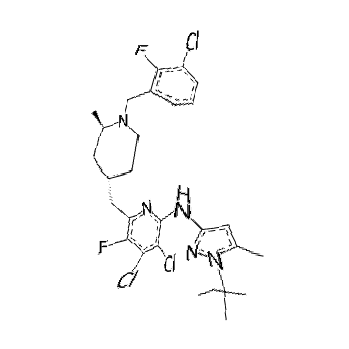 Cc1cc(Nc2nc(C[C@H]3CCN(Cc4cccc(Cl)c4F)[C@H](C)C3)c(F)c(Cl)c2Cl)nn1C(C)(C)C